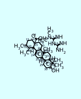 CN(C)C(=N)NC(=N)N.C[C@H]1[C@H](C)CC[C@]2(C(=O)O)CC[C@]3(C)C(=CC[C@@H]4[C@@]5(C)CC[C@H](O)C(C)(C)[C@@H]5CC[C@]43C)[C@H]12